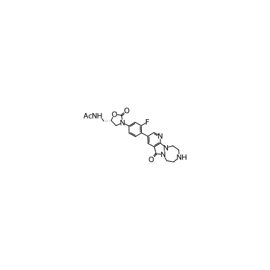 CC(=O)NC[C@H]1CN(c2ccc(-c3cnc4c(c3)c(=O)n3n4CCNCC3)c(F)c2)C(=O)O1